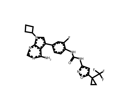 Nc1ncnc2c1c(-c1ccc(NC(=O)Nc3cc(C4(C(F)(F)F)CC4)on3)c(F)c1)cn2C1CCC1